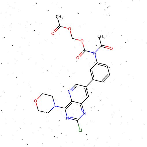 CC(=O)OCOC(=O)N(C(C)=O)c1cccc(-c2cnc3c(N4CCOCC4)nc(Cl)nc3c2)c1